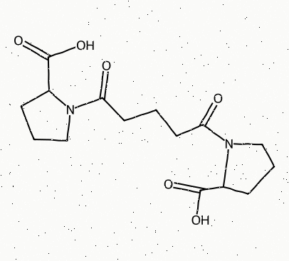 O=C(O)C1CCCN1C(=O)CCCC(=O)N1CCCC1C(=O)O